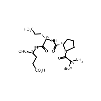 CC[C@H](C)[C@H](N)C(=O)N1CCC[C@H]1C(=O)N[C@@H](CCC(=O)O)C(=O)N[C@H]([C]=O)CCC(=O)O